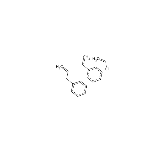 C=CCc1ccccc1.C=CCl.C=Cc1ccccc1